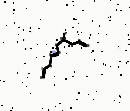 C=CC/C=C/CN(C)CC=C